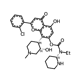 CCN(C(=O)Oc1cc(O)c2c(=O)cc(-c3ccccc3Cl)oc2c1[C@H]1CCN(C)C[C@H]1O)[C@H]1CCCCN1